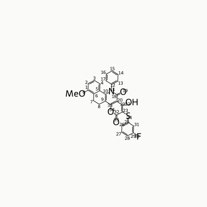 COc1cccc2c1CCc1c-2n(-c2ccccc2)c(=O)c2c(O)c(Sc3cccc(F)c3)c(=O)oc12